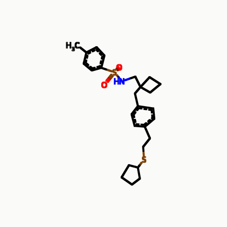 Cc1ccc(S(=O)(=O)NCC2(Cc3ccc(CCSC4CCCC4)cc3)CCC2)cc1